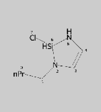 CCCCN1C=CN[SiH]1Cl